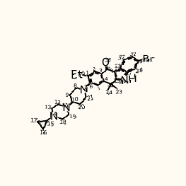 CCc1cc2c(cc1N1CCC(N3CCN(C4CC4)CC3)CC1)C(C)(C)c1[nH]c3cc(Br)ccc3c1C2=O